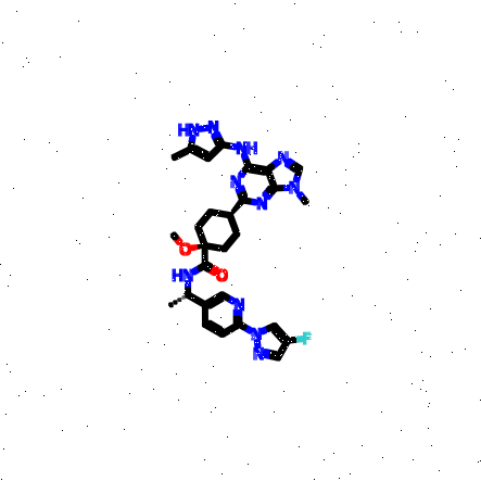 CO[C@]1(C(=O)N[C@@H](C)c2ccc(-n3cc(F)cn3)nc2)CC[C@H](c2nc(Nc3cc(C)[nH]n3)c3ncn(C)c3n2)CC1